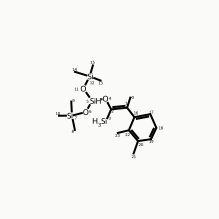 CC(=C([SiH3])O[SiH](O[Si](C)(C)C)O[Si](C)(C)C)c1cccc(C)c1C